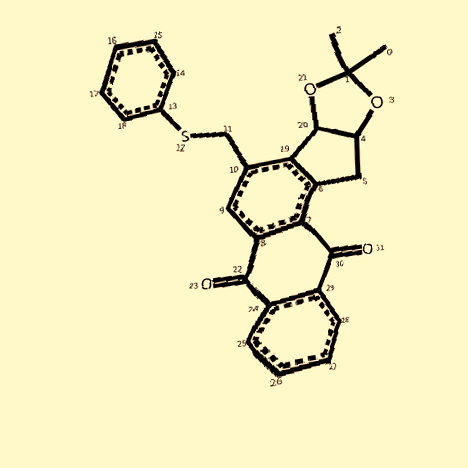 CC1(C)OC2Cc3c4c(cc(CSc5ccccc5)c3C2O1)C(=O)c1ccccc1C4=O